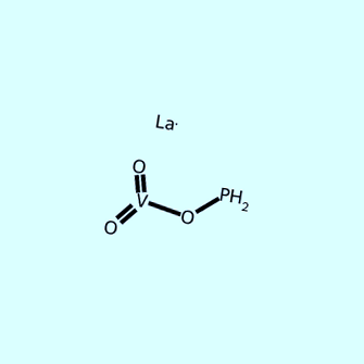 [La].[O]=[V](=[O])[O]P